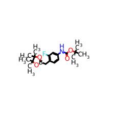 CC(C)(C)OC(=O)Nc1ccc(CB2OC(C)(C)C(C)(C)O2)c(F)c1